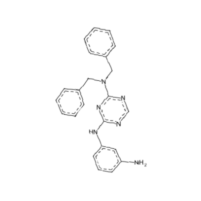 Nc1cccc(Nc2ncnc(N(Cc3ccccc3)Cc3ccccc3)n2)c1